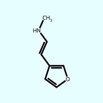 CNC=Cc1ccoc1